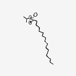 CCCCCCCCCCCCCCCS(=O)(=O)OC(C)C